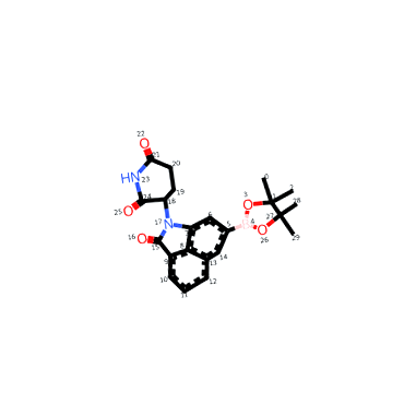 CC1(C)OB(c2cc3c4c(cccc4c2)C(=O)N3C2CCC(=O)NC2=O)OC1(C)C